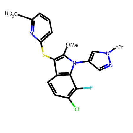 CCCn1cc(-n2c(OC)c(Sc3cccc(C(=O)O)n3)c3ccc(Cl)c(F)c32)cn1